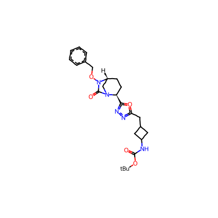 CC(C)(C)OC(=O)NC1CC(Cc2nnc([C@@H]3CC[C@@H]4CN3C(=O)N4OCc3ccccc3)o2)C1